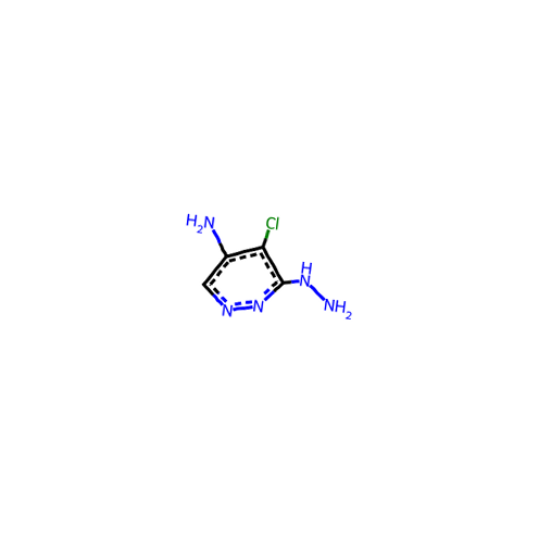 NNc1nncc(N)c1Cl